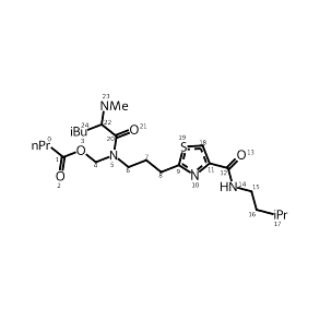 CCCC(=O)OCN(CCCc1nc(C(=O)NCCC(C)C)cs1)C(=O)C(NC)C(C)CC